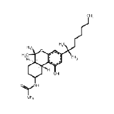 CCCCCCC(C)(C)c1cc(O)c2c(c1)OC(C)(C)[C@@H]1CCC(NC(C)=O)C[C@@H]21